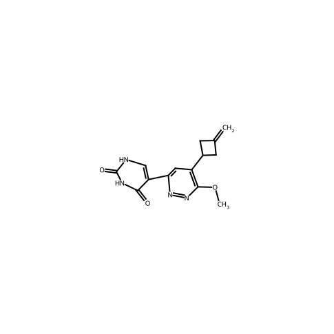 C=C1CC(c2cc(-c3c[nH]c(=O)[nH]c3=O)nnc2OC)C1